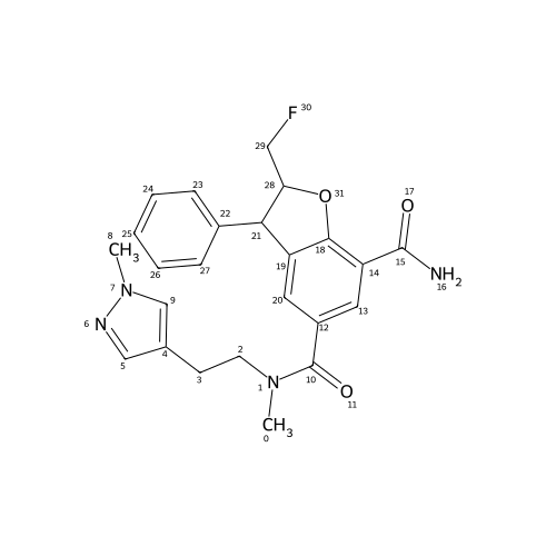 CN(CCc1cnn(C)c1)C(=O)c1cc(C(N)=O)c2c(c1)C(c1ccccc1)C(CF)O2